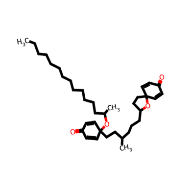 CCCCCCCCCCCCCC(C)OC1(CCC(C)CCCC2CCC3(C=CC(=O)C=C3)O2)C=CC(=O)C=C1